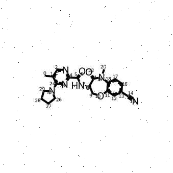 Cc1cnc(C(=O)N[C@H]2COc3cc(C#N)ccc3N(C)C2=O)nc1N1CCCC1